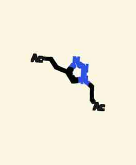 CC(=O)CCc1cn(CCC(C)=O)nn1